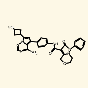 Nc1ncnn2c(C3CC(O)C3)cc(-c3ccc(NC(=O)c4c5n(n(-c6ccccc6)c4=O)CCOC5)cc3)c12